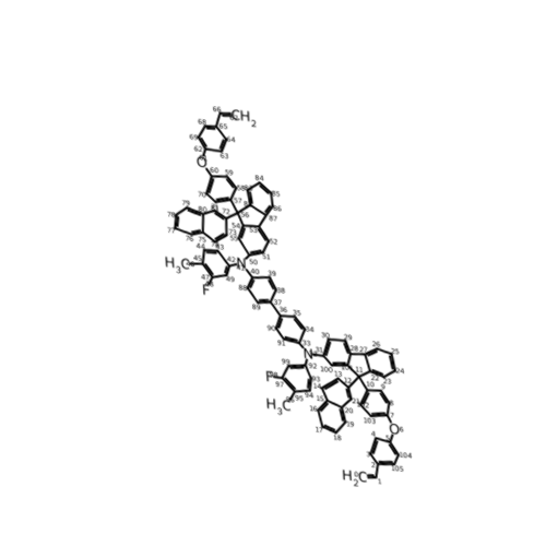 C=Cc1ccc(Oc2ccc(C3(c4ccc5ccccc5c4)c4ccccc4-c4ccc(N(c5ccc(-c6ccc(N(c7ccc(C)c(F)c7)c7ccc8c(c7)C(c7ccc(Oc9ccc(C=C)cc9)cc7)(c7ccc9ccccc9c7)c7ccccc7-8)cc6)cc5)c5ccc(C)c(F)c5)cc43)cc2)cc1